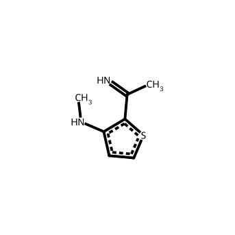 CNc1ccsc1C(C)=N